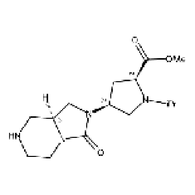 COC(=O)[C@@H]1C[C@H](N2C[C@@H]3CNCCN3C2=O)CN1C(C)C